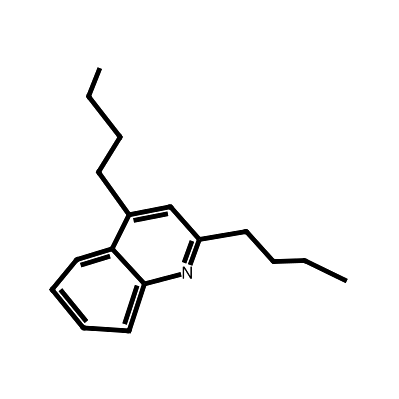 CCCCc1cc(CCCC)c2ccccc2n1